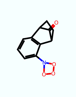 O=C1C2CCC1c1c2cccc1N1OOO1